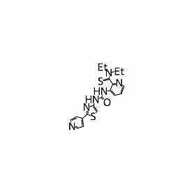 CCN(CC)C(=S)c1ncccc1NC(=O)Nc1csc(-c2ccncc2)n1